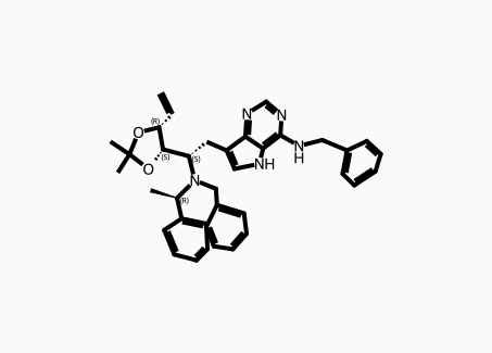 C=C[C@H]1OC(C)(C)O[C@H]1[C@H](Cc1c[nH]c2c(NCc3ccccc3)ncnc12)N(Cc1ccccc1)[C@H](C)c1ccccc1